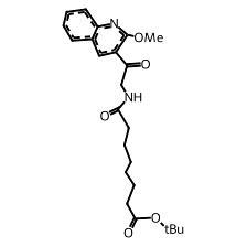 COc1nc2ccccc2cc1C(=O)CNC(=O)CCCCCCC(=O)OC(C)(C)C